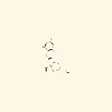 CCON1CCC(NC(=O)Cc2c(C)cc(C)cc2C)(C(=O)OC)CC1